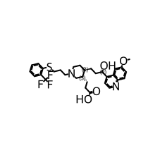 COc1ccc2nccc([C@H](O)CC[C@@H]3CCN(CCCSc4ccccc4C(F)(F)F)C[C@H]3CCC(=O)O)c2c1